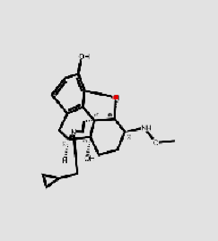 CON[C@H]1CC[C@@]2(O)[C@H]3Cc4ccc(O)c5c4[C@@]2(CCN3CC2CC2)[C@H]1O5